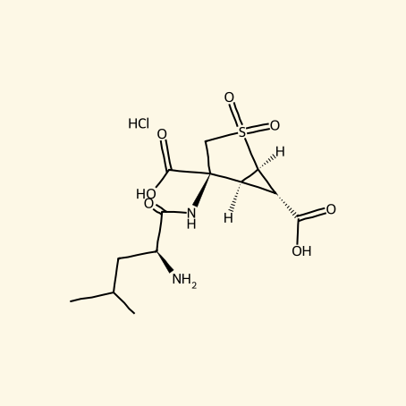 CC(C)C[C@H](N)C(=O)N[C@@]1(C(=O)O)CS(=O)(=O)[C@H]2[C@H](C(=O)O)[C@H]21.Cl